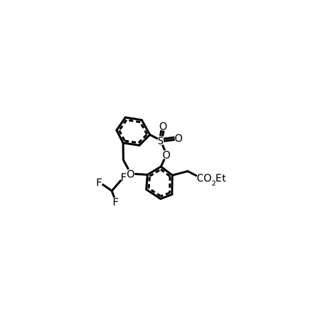 CCOC(=O)Cc1cccc2c1OS(=O)(=O)c1cccc(c1)CO2.FC(F)F